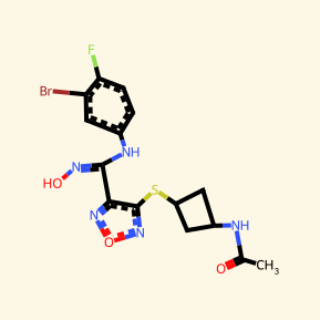 CC(=O)NC1CC(Sc2nonc2C(=NO)Nc2ccc(F)c(Br)c2)C1